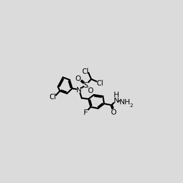 NNC(=O)c1ccc(CN(c2cccc(Cl)c2)S(=O)(=O)C(Cl)Cl)c(F)c1